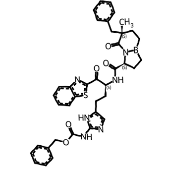 C[C@@]1(Cc2ccccc2)CCB2CC[C@@H](C(=O)N[C@@H](CCc3cnc(NC(=O)OCc4ccccc4)[nH]3)C(=O)c3nc4ccccc4s3)N2C1=O